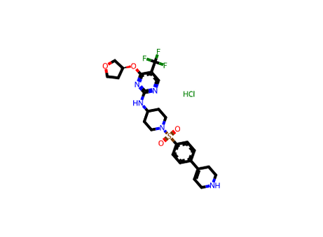 Cl.O=S(=O)(c1ccc(C2=CCNCC2)cc1)N1CCC(Nc2ncc(C(F)(F)F)c(O[C@H]3CCOC3)n2)CC1